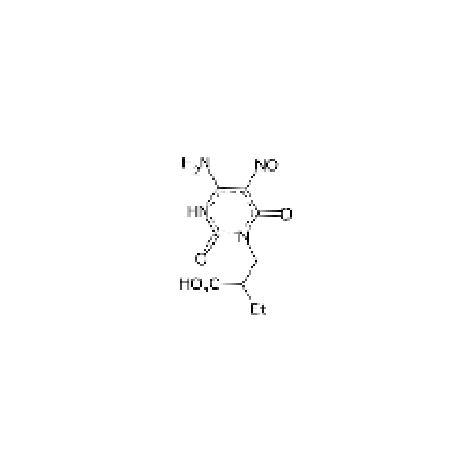 CCC(Cn1c(=O)[nH]c(N)c(N=O)c1=O)C(=O)O